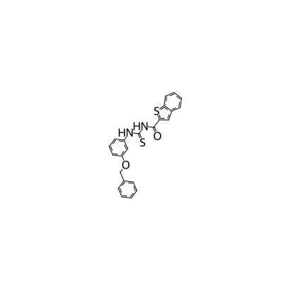 O=C(NC(=S)Nc1cccc(OCc2ccccc2)c1)c1cc2ccccc2s1